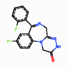 O=C1CN2C(=NN1)CN=C(c1ccccc1F)c1cc(F)ccc12